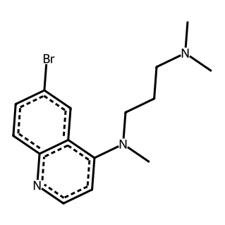 CN(C)CCCN(C)c1ccnc2ccc(Br)cc12